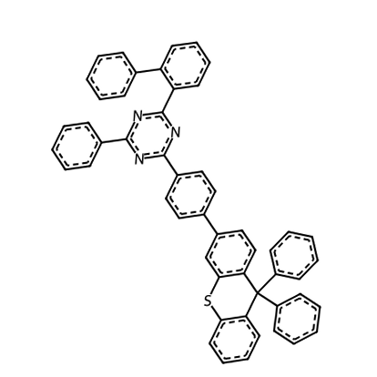 c1ccc(-c2nc(-c3ccc(-c4ccc5c(c4)Sc4ccccc4C5(c4ccccc4)c4ccccc4)cc3)nc(-c3ccccc3-c3ccccc3)n2)cc1